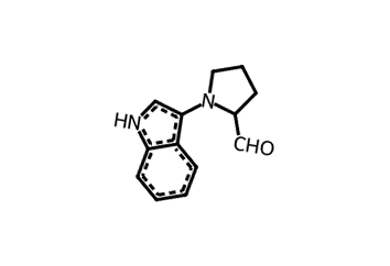 O=CC1CCCN1c1c[nH]c2ccccc12